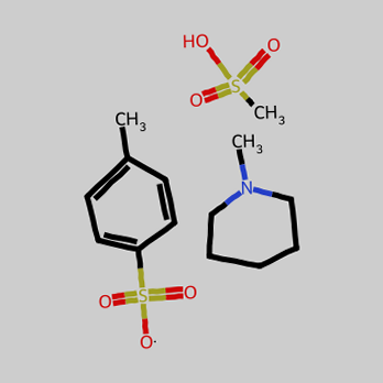 CN1CCCCC1.CS(=O)(=O)O.Cc1ccc(S([O])(=O)=O)cc1